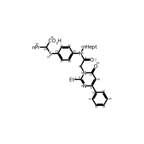 CCCCCCCN(C(=O)Cn1c(CC)nc(-c2ccccc2)cc1=O)c1ccc(SC(CCC)C(=O)O)cc1